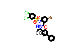 O=C(O)CC(NC(=O)c1cc(Br)ccc1NS(=O)(=O)c1ccc(Cl)c(Cl)c1)c1ccc(-c2ccccc2)cc1